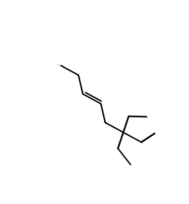 [CH2]CC=CCC(CC)(CC)CC